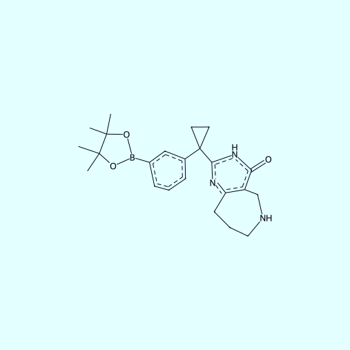 CC1(C)OB(c2cccc(C3(c4nc5c(c(=O)[nH]4)CNCCC5)CC3)c2)OC1(C)C